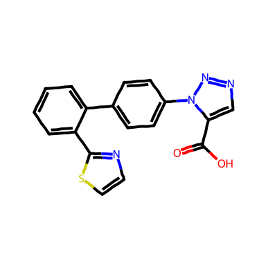 O=C(O)c1cnnn1-c1ccc(-c2ccccc2-c2nccs2)cc1